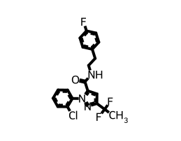 CC(F)(F)c1cc(C(=O)NCCc2ccc(F)cc2)n(-c2ccccc2Cl)n1